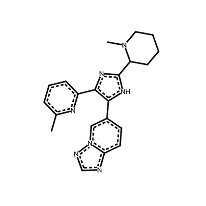 Cc1cccc(-c2nc(C3CCCCN3C)[nH]c2-c2ccc3ncnn3c2)n1